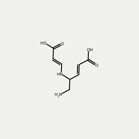 NCC(C=CC(=O)O)NC=CC(=O)O